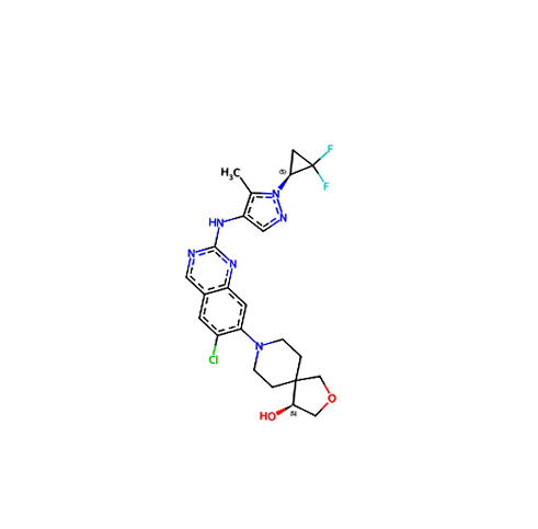 Cc1c(Nc2ncc3cc(Cl)c(N4CCC5(CC4)COC[C@H]5O)cc3n2)cnn1[C@H]1CC1(F)F